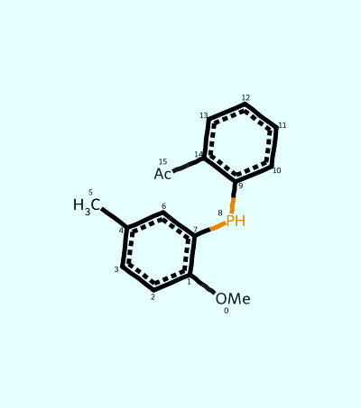 COc1ccc(C)cc1Pc1ccccc1C(C)=O